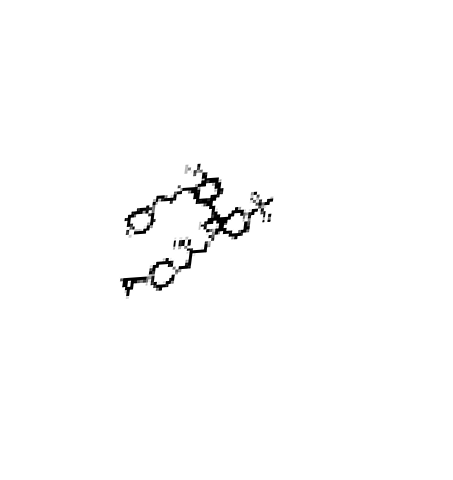 CS(=O)(=O)N1CCc2c(c(-c3ccc(C(F)(F)F)c(SCCN4CCOCC4)c3)nn2CC(O)CN2CCN(C3CC3)CC2)C1